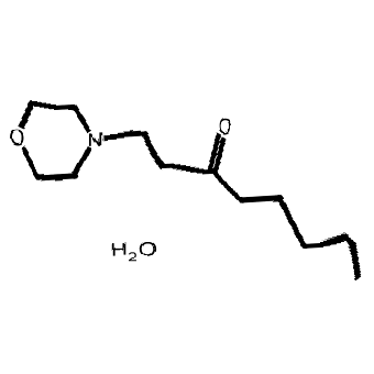 CCCCCC(=O)CCN1CCOCC1.O